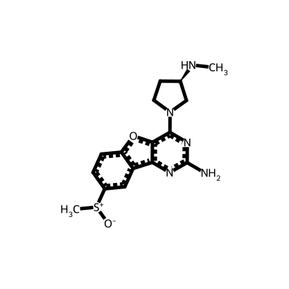 CN[C@@H]1CCN(c2nc(N)nc3c2oc2ccc([S+](C)[O-])cc23)C1